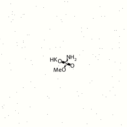 COS(N)(=O)=O.[KH]